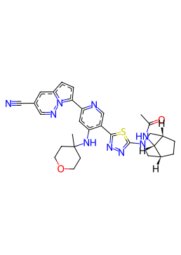 CC(=O)N[C@H]1[C@@H]2CC[C@H]1CN(c1nnc(-c3cnc(-c4ccc5cc(C#N)cnn45)cc3NC3(C)CCOCC3)s1)C2